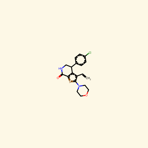 C=Cc1c(N2CCOCC2)sc2c1C(c1ccc(Cl)cc1)CNC2=O